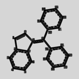 C1=Cc2ccccc2C1=C(c1ccccc1)c1ccccc1